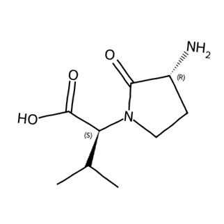 CC(C)[C@@H](C(=O)O)N1CC[C@@H](N)C1=O